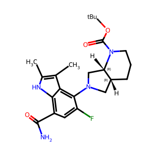 Cc1[nH]c2c(C(N)=O)cc(F)c(N3C[C@H]4CCCN(C(=O)OC(C)(C)C)[C@H]4C3)c2c1C